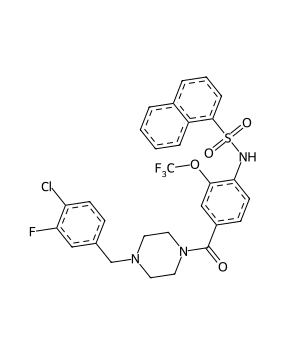 O=C(c1ccc(NS(=O)(=O)c2cccc3ccccc23)c(OC(F)(F)F)c1)N1CCN(Cc2ccc(Cl)c(F)c2)CC1